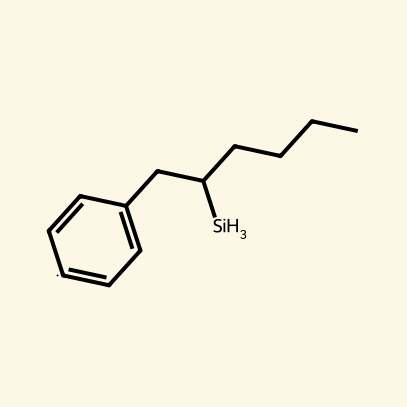 CCCCC([SiH3])Cc1cc[c]cc1